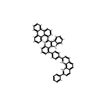 c1ccc(-c2ccc3ccc4ccc(-c5ccc(-c6cccc7nc(-c8cccc9c%10ccccc%10c%10ccccc%10c89)c8c9ccccc9oc8c67)cc5)nc4c3n2)cc1